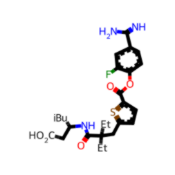 CCC(C)C(CC(=O)O)NC(=O)C(CC)(CC)Cc1ccc(C(=O)Oc2ccc(C(=N)N)cc2F)s1